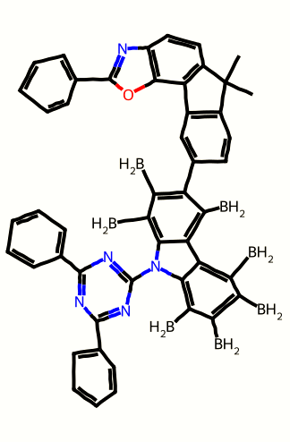 Bc1c(B)c(B)c2c(c1B)c1c(B)c(-c3ccc4c(c3)-c3c(ccc5nc(-c6ccccc6)oc35)C4(C)C)c(B)c(B)c1n2-c1nc(-c2ccccc2)nc(-c2ccccc2)n1